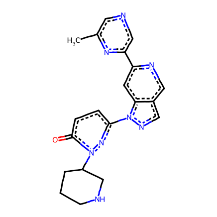 Cc1cncc(-c2cc3c(cn2)cnn3-c2ccc(=O)n(C3CCCNC3)n2)n1